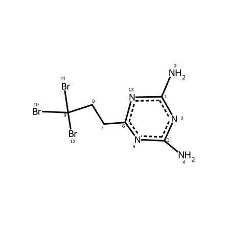 Nc1nc(N)nc(CCC(Br)(Br)Br)n1